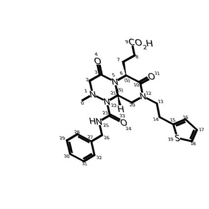 CN1CC(=O)N2[C@@H](CCC(=O)O)C(=O)N(CCc3cccs3)C[C@@H]2N1C(=O)NCc1ccccc1